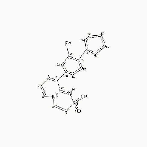 O=S1(=O)C=CN2C=CC=C(c3ccc(-c4ccccc4)c(F)c3)C2=N1